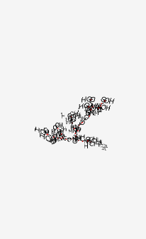 CC(C)(C)OC(=O)NCCCCC(NC(=O)CCC(=O)NC(CCCCNC(=O)OC(C)(C)C)C(=O)NCCOCCOCC(=O)NC(CCC(=O)NC(CCC(=O)O)C(=O)O)C(=O)NC(CCC(=O)O)C(=O)O)C(=O)NCCOCCOCC(=O)NC(CCC(=O)NC(CCC(=O)O)C(=O)O)C(=O)NC(CCC(=O)O)C(=O)O